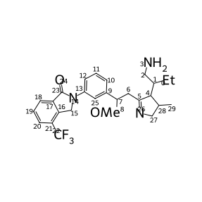 CCC(CN)C1C(CC(OC)c2cccc(N3Cc4c(cccc4C(F)(F)F)C3=O)c2)=NCC1C